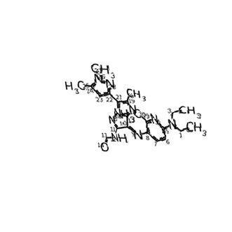 CCN(CC)c1ccc(/N=C2/C(NC=O)=Nn3c2nc(C)c3-c2cc(C)n(C)n2)c(C)n1